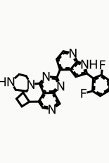 Fc1cccc(F)c1-c1cc2c(-c3nc(N4CCNCC4)c4c(C5CCC5)cncc4n3)ccnc2[nH]1